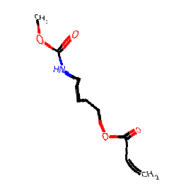 C=CC(=O)OCCCNC(=O)OC